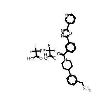 NCc1cccc(C2CCN(C(=O)c3cccc(-c4nnc(-c5cccnc5)o4)c3)CC2)c1.O=C(O)C(F)(F)F.O=C(O)C(F)(F)F